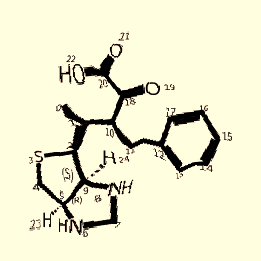 CC(=C1SC[C@@H]2NCN[C@H]12)C(Cc1ccccc1)C(=O)C(=O)O